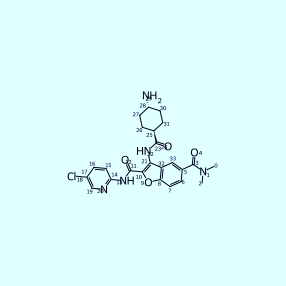 CN(C)C(=O)c1ccc2oc(C(=O)Nc3ccc(Cl)cn3)c(NC(=O)[C@H]3CC[C@H](N)CC3)c2c1